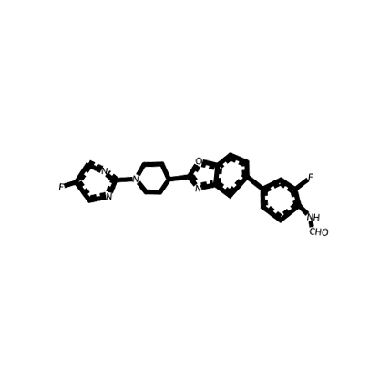 O=CNc1ccc(-c2ccc3oc(C4CCN(c5ncc(F)cn5)CC4)nc3c2)cc1F